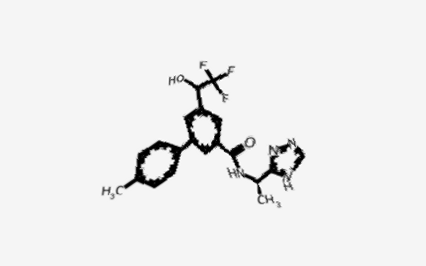 Cc1ccc(-c2cc(C(=O)N[C@H](C)c3nnc[nH]3)cc(C(O)C(F)(F)F)c2)cc1